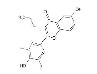 CCCc1c(-c2cc(F)c(O)c(F)c2)oc2ccc(O)cc2c1=O